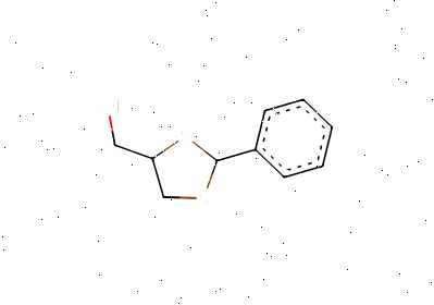 OCC1CSC(c2ccccc2)S1